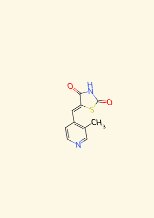 Cc1cnccc1/C=C1\SC(=O)NC1=O